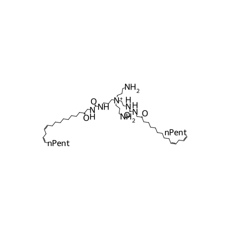 CCCCC/C=C\C/C=C\CCCCCCCCC(=O)CNC(=O)NCCC[N+](CCCN)(CCCN)CCNC(=O)NCC(=O)CCCCCCCC/C=C\C/C=C\CCCCC